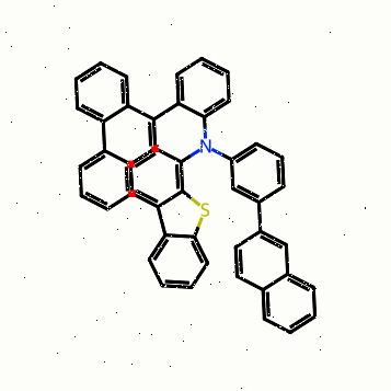 c1cc(-c2ccc3ccccc3c2)cc(N(c2ccccc2-c2cc3ccccc3c3ccccc23)c2cccc3c2sc2ccccc23)c1